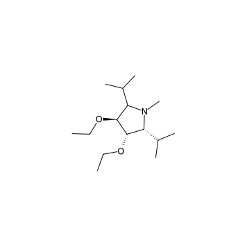 CCO[C@H]1[C@@H](C(C)C)N(C)C(C(C)C)[C@@H]1OCC